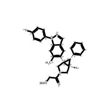 COCC(=O)N1C[C@@H]2[C@@H](c3ccccc3)[C@]2(c2cc3cnn(-c4ccc(F)cc4)c3cc2C)C1